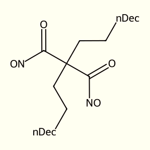 CCCCCCCCCCCCC(CCCCCCCCCCCC)(C(=O)N=O)C(=O)N=O